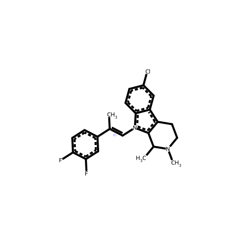 C/C(=C\n1c2c(c3cc(Cl)ccc31)CCN(C)C2C)c1ccc(F)c(F)c1